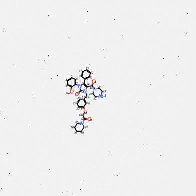 COc1ccccc1-n1c(-c2ccccc2)c(C(=O)N2CCNCC2)n(Cc2cccc(OCC(=O)N3CCCCC3)c2)c1=O